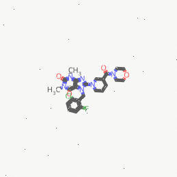 Cn1c(=O)c2c(nc(N3CCCC(C(=O)N4CCOCC4)C3)n2Cc2c(F)cccc2Cl)n(C)c1=O